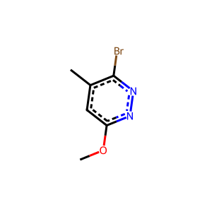 COc1cc(C)c(Br)nn1